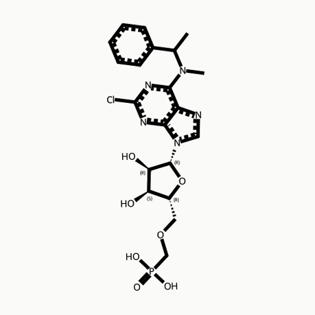 CC(c1ccccc1)N(C)c1nc(Cl)nc2c1ncn2[C@@H]1O[C@H](COCP(=O)(O)O)[C@@H](O)[C@H]1O